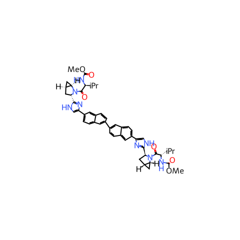 COC(=O)N[C@H](C(=O)N1[C@@H]2C[C@@H]2C[C@H]1c1nc(-c2ccc3cc(-c4ccc5cc(-c6c[nH]c([C@@H]7C[C@H]8C[C@H]8N7C(=O)[C@@H](NC(=O)OC)C(C)C)n6)ccc5c4)ccc3c2)c[nH]1)C(C)C